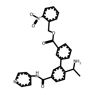 CC(N)c1ccc(C(=O)Nc2ccncc2)cc1-c1cccc(C(=O)OCc2ccccc2[N+](=O)[O-])c1